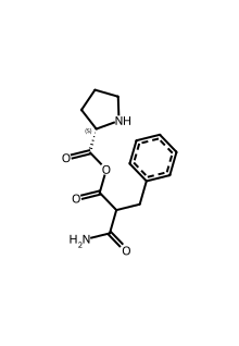 NC(=O)C(Cc1ccccc1)C(=O)OC(=O)[C@@H]1CCCN1